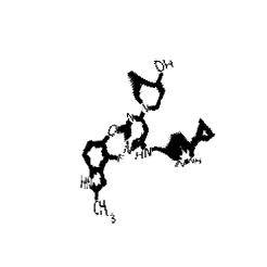 Cc1cc2c(F)c(Oc3nc(Nc4cc(C5CC5)[nH]n4)cc(N4CCC(O)CC4)n3)ccc2[nH]1